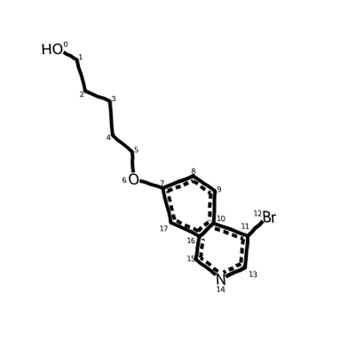 OCCCCCOc1ccc2c(Br)cncc2c1